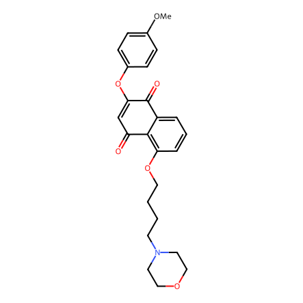 COc1ccc(OC2=CC(=O)c3c(OCCCCN4CCOCC4)cccc3C2=O)cc1